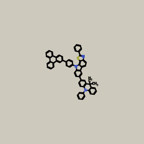 CC1(C)c2ccccc2N(c2ccccc2)c2ccc(-c3ccc4c(c3)c3ccc5nc(-c6ccccc6)sc5c3n4-c3ccc(-c4ccc5c6ccccc6c6ccccc6c5c4)cc3)cc21